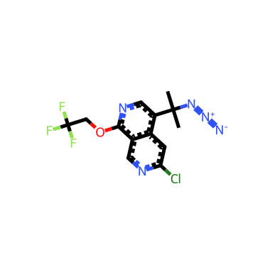 CC(C)(N=[N+]=[N-])c1cnc(OCC(F)(F)F)c2cnc(Cl)cc12